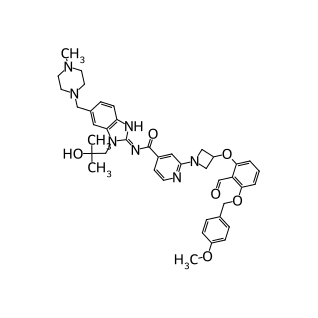 COc1ccc(COc2cccc(OC3CN(c4cc(C(=O)/N=c5\[nH]c6ccc(CN7CCN(C)CC7)cc6n5CC(C)(C)O)ccn4)C3)c2C=O)cc1